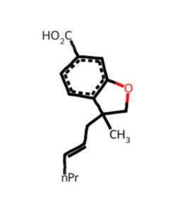 CCCC=CCC1(C)COc2cc(C(=O)O)ccc21